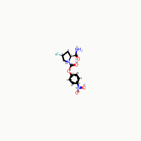 NC(=O)[C@@H]1C[C@H](F)CN1C(=O)Oc1ccc([N+](=O)[O-])cc1